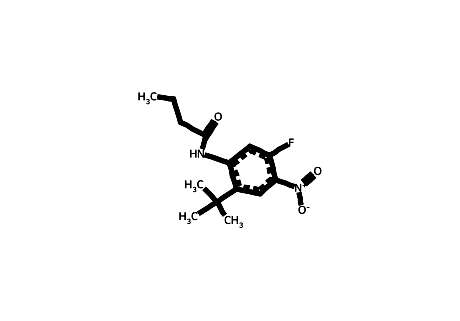 CCCC(=O)Nc1cc(F)c([N+](=O)[O-])cc1C(C)(C)C